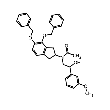 COc1cccc(C(O)CN(C(C)=O)C2Cc3ccc(OCc4ccccc4)c(OCc4ccccc4)c3C2)c1